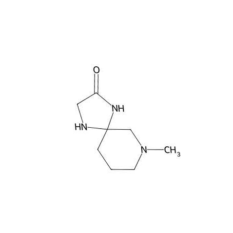 CN1CCCC2(C1)NCC(=O)N2